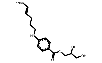 CCCCCCCCCC=CCCCNc1ccc(C(=O)OCC(O)CO)cc1